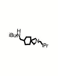 CCC(C)NCC1CCC2(CC1)CN(CC(C)C)C2